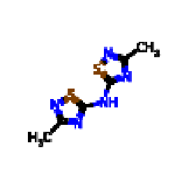 Cc1nsc(Nc2nc(C)ns2)n1